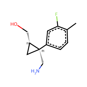 Cc1ccc([C@@]2(CN)C[C@@H]2CO)cc1F